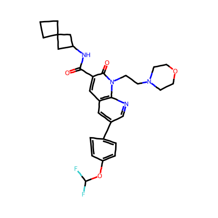 O=C(NC1CC2(CCC2)C1)c1cc2cc(-c3ccc(OC(F)F)cc3)cnc2n(CCN2CCOCC2)c1=O